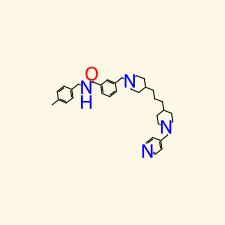 Cc1ccc(CNC(=O)c2cccc(CN3CCC(CCCC4CCN(Cc5ccncc5)CC4)CC3)c2)cc1